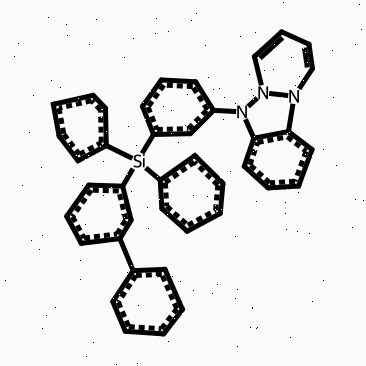 C1=CN2c3ccccc3N(c3cccc([Si](c4ccccc4)(c4ccccc4)c4cccc(-c5ccccc5)c4)c3)N2C=C1